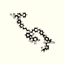 CC(C)(O)c1cc2nc(C3CCC(CN4CCC(CCN(CCCCN5CCC(c6ccc(Nc7nc(N8CCCCC8)cnc7C(N)=O)cc6)CC5)c5cccc6c5C(=O)N(C5CCC(=O)NC5=O)C6=O)CC4)CC3)sc2cc1NC(=O)c1cccc(C(F)(F)F)n1